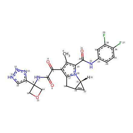 Cc1c(C(=O)C(=O)NC2(c3c[nH]nn3)COC2)c2n(c1C(=O)Nc1ccc(F)c(F)c1)[C@@H]1C=C1C2